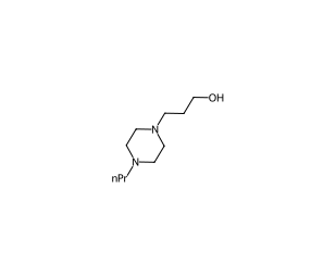 CCCN1CCN(CCCO)CC1